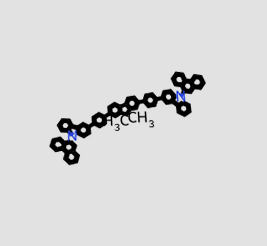 CC1(C)c2cc(-c3ccc(-c4ccc5c(c4)c4ccccc4n5-c4cc5ccccc5c5ccccc45)cc3)ccc2-c2ccc(-c3ccc(-c4ccc5c(c4)c4ccccc4n5-c4cc5ccccc5c5ccccc45)cc3)cc21